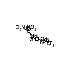 CCCC(Oc1cnn(C(F)(F)F)c1)c1ccc(C(=O)NCCCC(CO[N+](=O)[O-])O[N+](=O)[O-])cc1